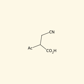 CC(=O)C(CC#N)C(=O)O